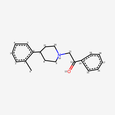 Cc1[c]cccc1C1CCN(CC(=O)c2ccccc2)CC1